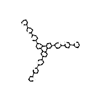 c1ccc(-c2ccc(-c3ccc(-c4ccc5c(c4)c4ccc(-c6ccc(-c7ccc(-c8ccccn8)cn7)nc6)cc4c4ccc(-c6ccc(-c7ccc(-c8ccccn8)cn7)nc6)cc54)cn3)nc2)nc1